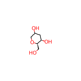 OC[C@H]1OCC(O)C[C@H]1O